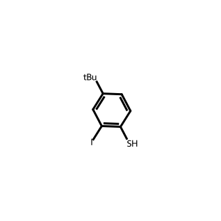 CC(C)(C)c1ccc(S)c(I)c1